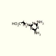 C=CC(=O)O.Nc1nc(N)nc(N)n1